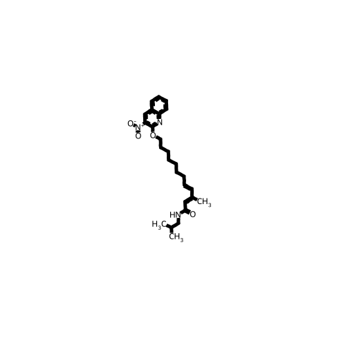 CC(C=CCCCCCCCOc1nc2ccccc2cc1[N+](=O)[O-])=CC(=O)NCC(C)C